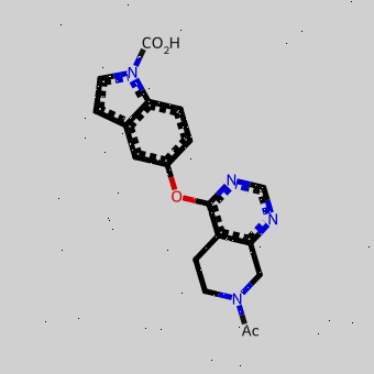 CC(=O)N1CCc2c(ncnc2Oc2ccc3c(ccn3C(=O)O)c2)C1